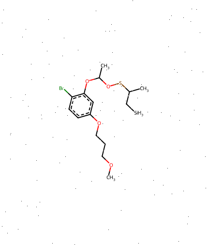 COCCCOc1ccc(Br)c(OC(C)OSC(C)C[SiH3])c1